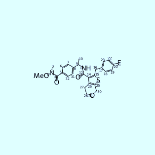 CON(C)C(=O)c1ccc(C(C)NC(=O)c2c(Cc3ccc(F)cc3)sc3c2CCOC3)cc1